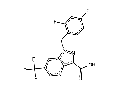 O=C(O)c1nn(Cc2ccc(F)cc2F)c2cc(C(F)(F)F)cnc12